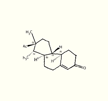 CC(=O)[C@@]1(C)CC[C@H]2[C@@H](CCC3=CC(=O)CC[C@@H]32)[C@@H]1C